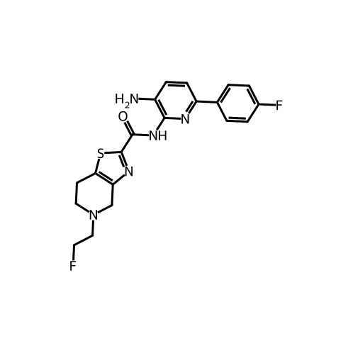 Nc1ccc(-c2ccc(F)cc2)nc1NC(=O)c1nc2c(s1)CCN(CCF)C2